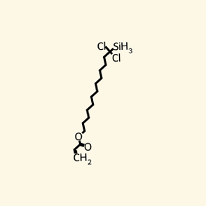 C=CC(=O)OCCCCCCCCCCCCC([SiH3])(Cl)Cl